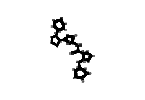 O=C(Nc1nc(C2CCCN2c2ccccc2)cs1)c1cccn1Cc1ccnnc1